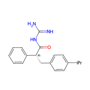 CC(C)c1ccc(C[C@@H](C(=O)NC(=N)N)c2ccccc2)cc1